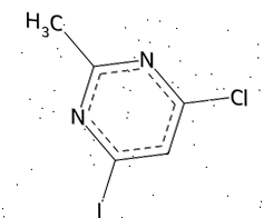 Cc1nc(Cl)cc(I)n1